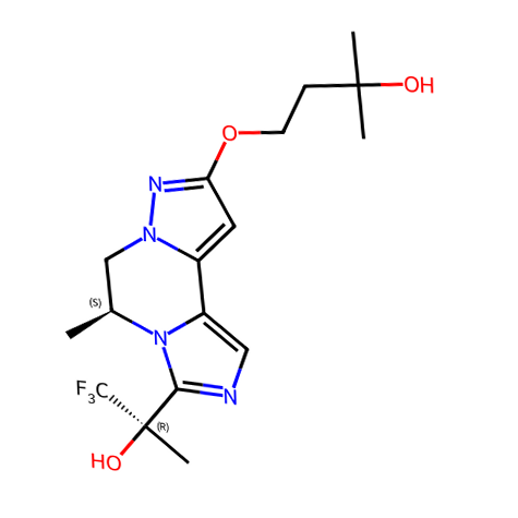 C[C@H]1Cn2nc(OCCC(C)(C)O)cc2-c2cnc([C@@](C)(O)C(F)(F)F)n21